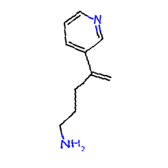 C=C(CCCN)c1cccnc1